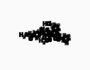 COc1c(C(=O)NC2CCN(C(=O)CN)CC2)n(C)c2c1c(=O)n(CC(=O)c1ccccc1)c1ccccc21.Cl